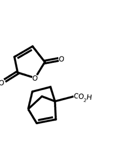 O=C(O)C12C=CC(CC1)C2.O=C1C=CC(=O)O1